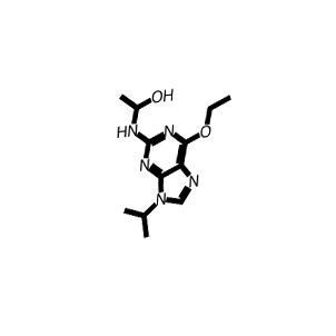 CCOc1nc(NC(C)O)nc2c1ncn2C(C)C